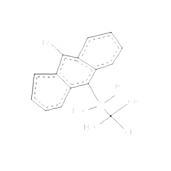 CC(C)(C)[Si](C)(C)c1c2ccccc2c(Br)c2ccccc12